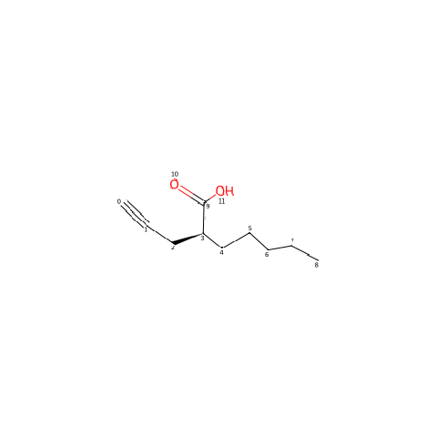 C#CC[C@H](CCCCC)C(=O)O